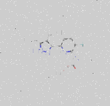 CC(C)(C)OC(=O)Nc1nc(-c2n[nH]c(C(F)(F)F)c2C(=O)O)ccc1F